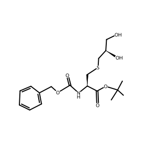 CC(C)(C)OC(=O)[C@H](CSC[C@H](O)CO)NC(=O)OCc1ccccc1